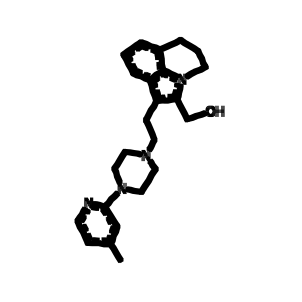 Cc1ccnc(N2CCN(CCc3c(CO)n4c5c(cccc35)CCC4)CC2)c1